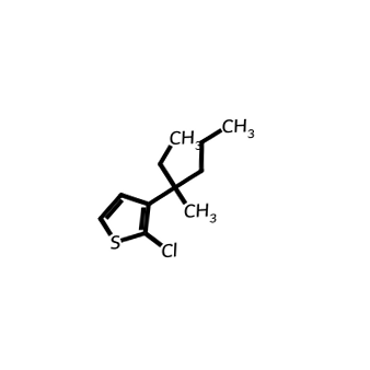 CCCC(C)(CC)c1ccsc1Cl